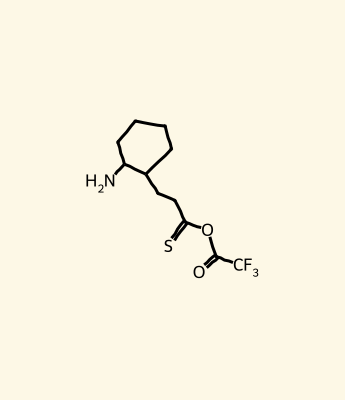 NC1CCCCC1CCC(=S)OC(=O)C(F)(F)F